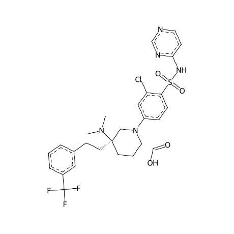 CN(C)[C@]1(CCc2cccc(C(F)(F)F)c2)CCCN(c2ccc(S(=O)(=O)Nc3ccncn3)c(Cl)c2)C1.O=CO